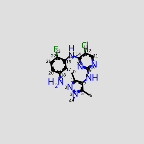 Cc1nn(C)c(C)c1Nc1ncc(Cl)c(Nc2cc(N)ccc2F)n1